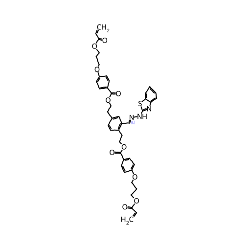 C=CC(=O)OCCCOc1ccc(C(=O)OCCc2ccc(CCOC(=O)c3ccc(OCCCOC(=O)C=C)cc3)c(/C=N/Nc3nc4ccccc4s3)c2)cc1